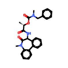 C[C@H](OC(=O)N(C)Cc1ccccc1)C(=O)NC1C(=O)N(C)c2ccccc2-c2ccccc21